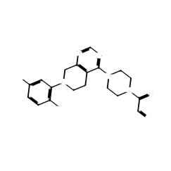 C=CC(=N)N1CCN(c2ncnc3c2CCN(c2cc(O)ccc2F)C3)CC1